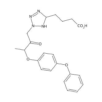 CC(Oc1ccc(Oc2ccccc2)cc1)C(=O)CN1N=NC(CCCC(=O)O)N1